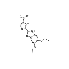 CCOc1cc2nc(-c3ncc([N+](=O)[O-])n3C)[nH]c2cc1OCC